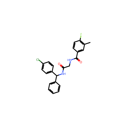 Cc1cc(C(=O)NCC(=O)NC(c2ccccc2)c2ccc(Cl)cc2)ccc1F